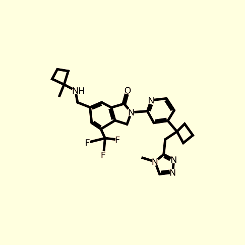 Cn1cnnc1CC1(c2ccnc(N3Cc4c(cc(CNC5(C)CCC5)cc4C(F)(F)F)C3=O)c2)CCC1